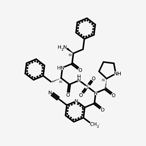 [CH2]c1ccc(C#N)nc1C(=O)N(C(=O)[C@@H]1CCCN1)S(=O)(=O)NC(=O)[C@H](Cc1ccccc1)NC(=O)[C@@H](N)Cc1ccccc1